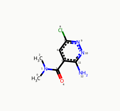 CN(C)C(=O)c1cc(Cl)nnc1N